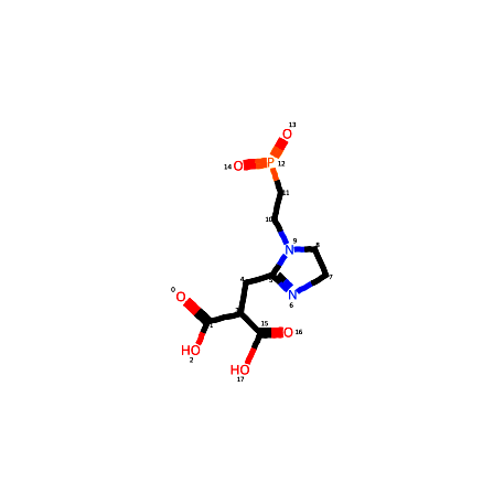 O=C(O)C(CC1=NCCN1CCP(=O)=O)C(=O)O